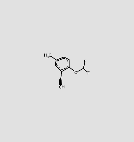 C#Cc1cc(C)ccc1OC(F)F